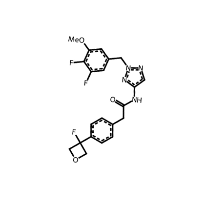 COc1cc(Cn2ncc(NC(=O)Cc3ccc(C4(F)COC4)cc3)n2)cc(F)c1F